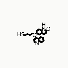 O=c1ccc2cc(OCCCCS)ccc2[nH]1.c1ccc2ncccc2c1